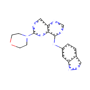 c1nc(Nc2ccc3cn[nH]c3c2)c2nc(N3CCOCC3)ncc2n1